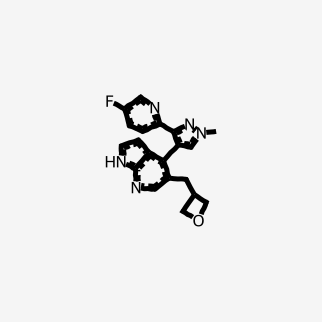 Cn1cc(-c2c(CC3COC3)cnc3[nH]ccc23)c(-c2ccc(F)cn2)n1